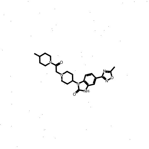 Cc1nc(-c2ccc3c(c2)[nH]c(=O)n3C2CCN(CC(=O)N3CCC(C)CC3)CC2)no1